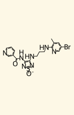 Cc1cc(Br)cnc1NCCCNc1n[s+]([O-])nc1NC(=O)c1cccnc1